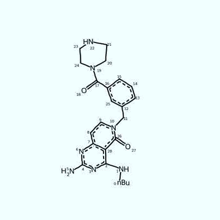 CCCCNc1nc(N)nc2ccn(Cc3cccc(C(=O)N4CCNCC4)c3)c(=O)c12